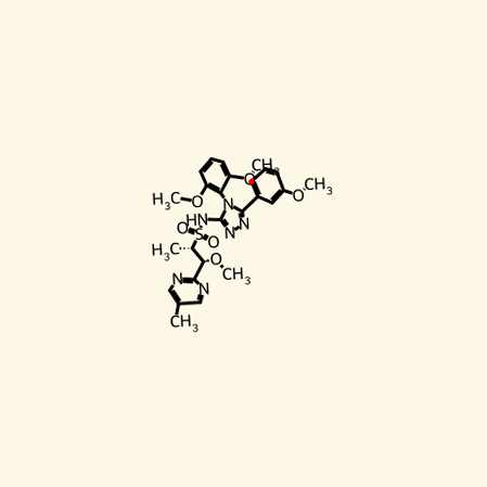 COc1cccc(-c2nnc(NS(=O)(=O)[C@@H](C)[C@H](OC)c3ncc(C)cn3)n2-c2c(OC)cccc2OC)c1